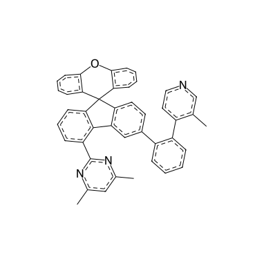 Cc1cc(C)nc(-c2cccc3c2-c2cc(-c4ccccc4-c4ccncc4C)ccc2C32c3ccccc3Oc3ccccc32)n1